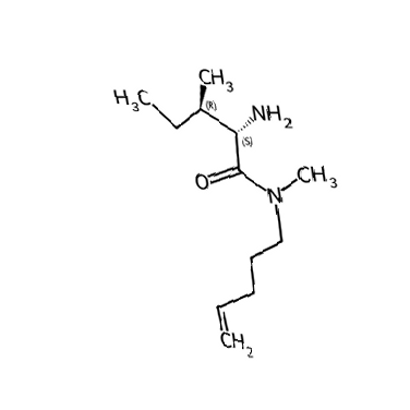 C=CCCCN(C)C(=O)[C@@H](N)[C@H](C)CC